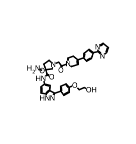 NO[C@@]1(C(=O)Nc2ccc3[nH]nc(-c4ccc(OCCO)cc4)c3c2)CCN(CC(=O)N2CC=C(c3ccc(-c4ncccn4)cc3)CC2)C1